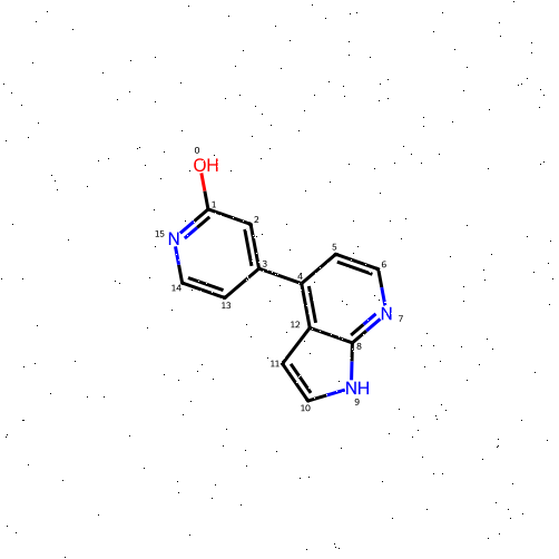 Oc1cc(-c2ccnc3[nH]ccc23)ccn1